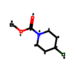 CCOC(=O)N1CCC(Cl)CC1